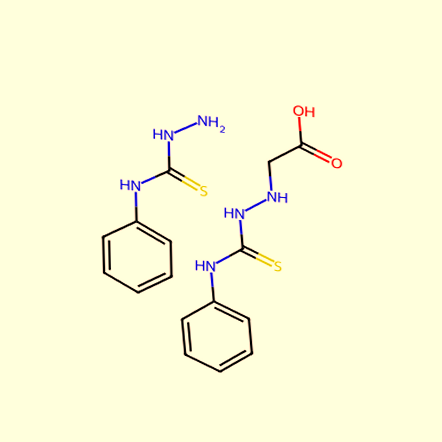 NNC(=S)Nc1ccccc1.O=C(O)CNNC(=S)Nc1ccccc1